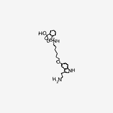 NCCc1c[nH]c2ccc(OCCCCCCN[S+]([O-])c3ccccc3C(=O)O)cc12